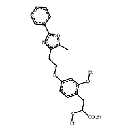 CCOC(=O)C(Cc1ccc(OCCc2nc(-c3ccccc3)oc2C)cc1OCC)OCC